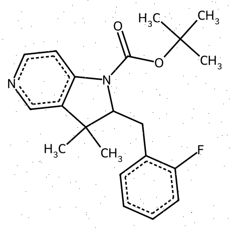 CC(C)(C)OC(=O)N1c2ccncc2C(C)(C)C1Cc1ccccc1F